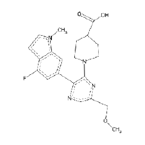 COCc1cnc(-c2cc(F)c3ccn(C)c3c2)c(N2CCC(C(=O)O)CC2)n1